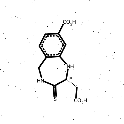 O=C(O)C[C@H]1Nc2cc(C(=O)O)ccc2CNC1=S